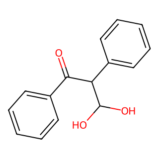 O=C(c1ccccc1)C(c1ccccc1)C(O)O